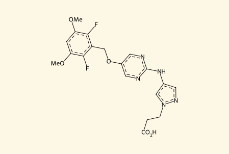 COc1cc(OC)c(F)c(COc2cnc(Nc3cnn(CCC(=O)O)c3)nc2)c1F